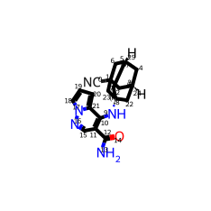 N#CC12C[C@H]3C[C@@H](C1)C[C@@](Nc1c(C(N)=O)cnn4cccc14)(C3)C2